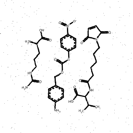 CC(C)C(NC(=O)CCCCCN1C(=O)C=CC1=O)C(=O)O.NC(=O)NCCCC(N)C(=O)O.Nc1ccc(COC(=O)Oc2ccc([N+](=O)[O-])cc2)cc1